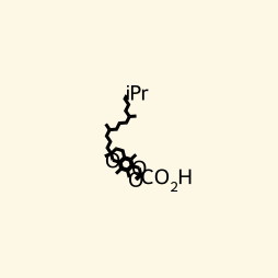 Cc1c(C)c2c(c(C)c1OC(=O)C(=O)O)CCC(C)(CCCC(C)CCCC(C)CCCC(C)C)O2